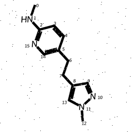 CNc1ccc(CCc2cnn(C)c2)cn1